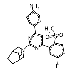 CS(=O)(=O)c1ccc(F)cc1-c1cc(-c2ccc(N)cc2)nc(N2CC3CCC(C2)O3)n1